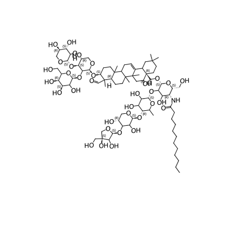 CCCCCCCCCCCC(=O)N[C@@H]1C(O)C(O[C@@H]2OC(C)[C@H](O[C@@H]3OC[C@@H](O)C(O[C@@H]4OC[C@@](O)(CO)C4O)C3O)C(O)C2O)[C@H](OC(=O)[C@]23CCC(C)(C)CC2C2=CCC4C5(C)CC[C@H](O[C@@H]6OC[C@@H](O)[C@H](O[C@@H]7OC[C@@H](O)[C@H](O)C7O)C6O[C@@H]6OC(CO)[C@H](O)[C@H](O)C6O)C(C)(C=O)[C@@H]5CCC4(C)C2(C)C[C@H]3O)O[C@@H]1CO